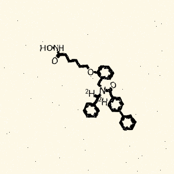 [2H]C([2H])(c1ccccc1)N(Cc1ccccc1OCCCCCC(=O)NO)C(=O)c1ccc(-c2ccccc2)cc1